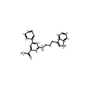 NC(=O)c1cc(-c2ccccc2)nc(NCCCc2c[nH]c3ccccc23)n1